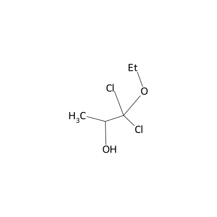 CCOC(Cl)(Cl)C(C)O